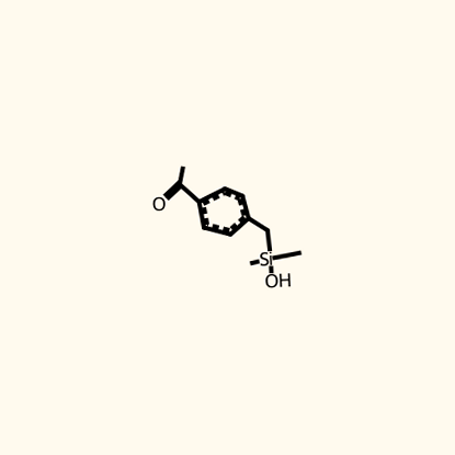 CC(=O)c1ccc(C[Si](C)(C)O)cc1